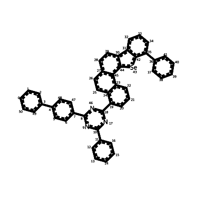 c1ccc(-c2ccc(-c3nc(-c4ccccc4)nc(-c4cccc5c4ccc4ccc6c7cccc(-c8ccccc8)c7[se]c6c45)n3)cc2)cc1